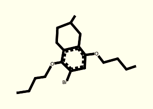 CCCCOc1cc(Br)c(OCCCC)c2c1CC(C)CC2